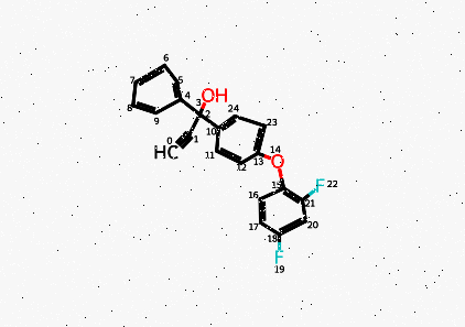 C#CC(O)(c1ccccc1)c1ccc(Oc2ccc(F)cc2F)cc1